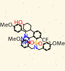 COc1ccc(CN(Cc2ccc(OC)cc2)S(=O)(=O)c2c(C(F)(F)F)ccc(C3CCC(O)CC3)c2-c2nnnn2Cc2ccc(OC)cc2)cc1